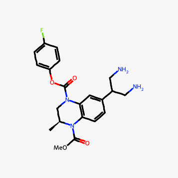 COC(=O)N1c2ccc(C(CN)CN)cc2N(C(=O)Oc2ccc(F)cc2)C[C@@H]1C